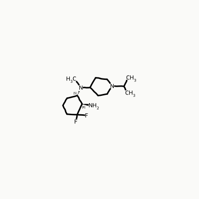 CC(C)N1CCC(N(C)[C@H]2CCCC(F)(F)[C@@H]2N)CC1